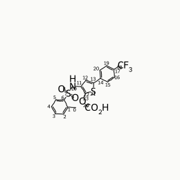 Cc1ccccc1S(=O)(=O)Nc1cc(-c2ccc(C(F)(F)F)cc2)sc1OC(=O)O